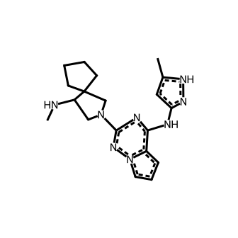 CNC1CN(c2nc(Nc3cc(C)[nH]n3)c3cccn3n2)CC12CCCC2